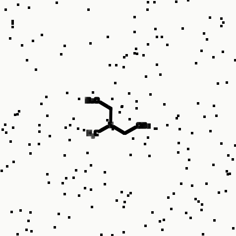 CC(C)COCN(C)COCC(C)C